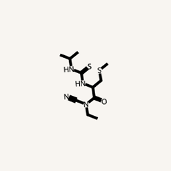 CCN(C#N)C(=O)C(CSC)NC(=S)NC(C)C